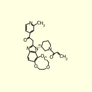 C=CC(=O)N1CCC[C@@H](n2c(CC(=O)c3ccnc(C)c3)nc3ccc4c(c32)OCCOCCO4)C1